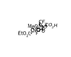 CCOC(=O)CC1CCCN(c2c(F)cc3c(=O)c(OC(=O)O)cn(CC(F)(F)F)c3c2OC)C1